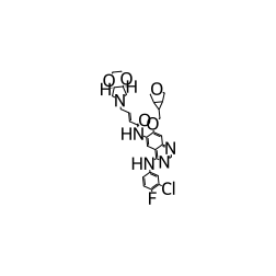 O=C(/C=C/CN1C[C@@H]2OCCO[C@@H]2C1)Nc1cc2c(Nc3ccc(F)c(Cl)c3)ncnc2cc1OCC1C2COCC21